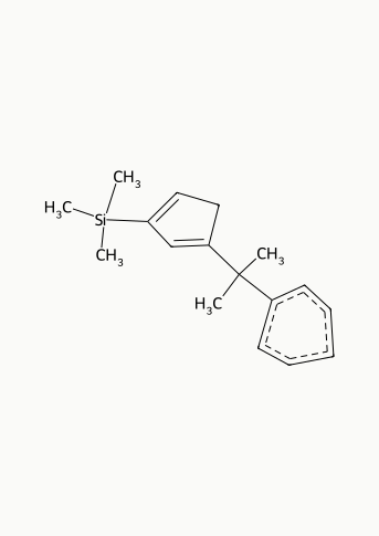 CC(C)(C1=CC([Si](C)(C)C)=CC1)c1ccccc1